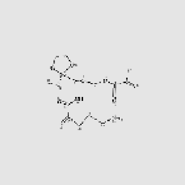 C=C(C)C(=O)OCCC[Si](OC)(OC)OC.C=C(CCCN)C(=O)O